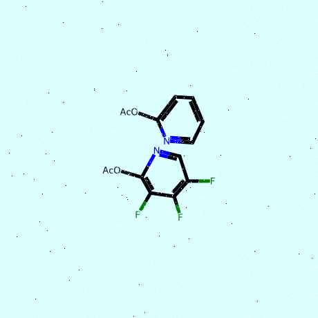 CC(=O)Oc1ccccn1.CC(=O)Oc1ncc(F)c(F)c1F